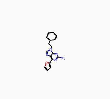 Nc1nc(-c2ccco2)c2ncn(CCC3CCCCC3)c2n1